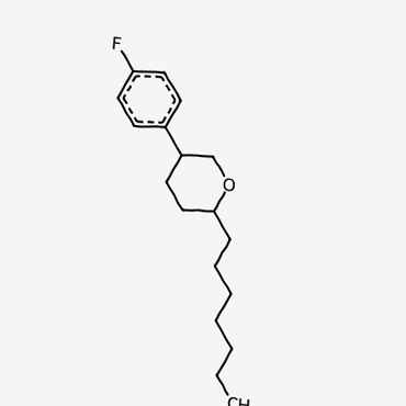 CCCCCCCC1CCC(c2ccc(F)cc2)CO1